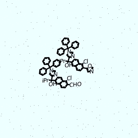 CC(C)C(O)(c1ccc2c(Cl)c(-c3cnco3)ccc2c1)c1cn(C(c2ccccc2)(c2ccccc2)c2ccccc2)cn1.CC(C)C(O)(c1ccc2c(Cl)c(C=O)ccc2c1)c1cn(C(c2ccccc2)(c2ccccc2)c2ccccc2)cn1